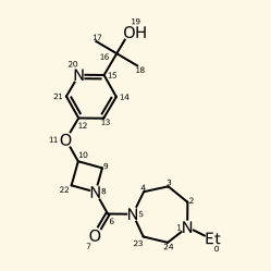 CCN1CCCN(C(=O)N2CC(Oc3ccc(C(C)(C)O)nc3)C2)CC1